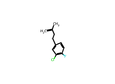 C=C(C)C[CH]c1ccc(F)c(Cl)c1